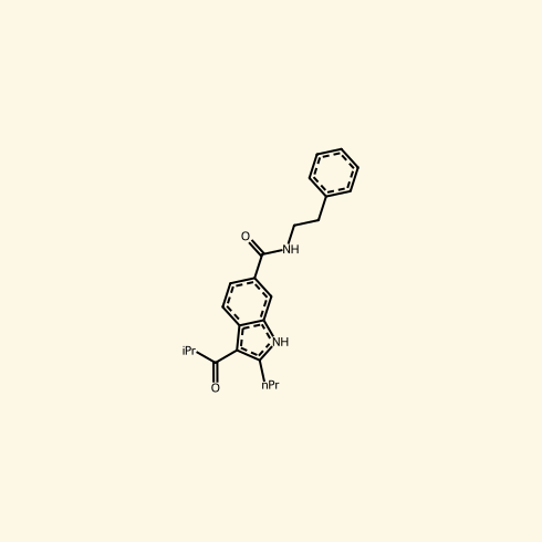 CCCc1[nH]c2cc(C(=O)NCCc3ccccc3)ccc2c1C(=O)C(C)C